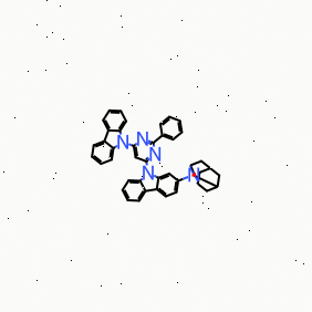 c1ccc(-c2nc(-n3c4ccccc4c4ccccc43)cc(-n3c4ccccc4c4ccc(N5C6CC7CC(C6)CC5C7)cc43)n2)cc1